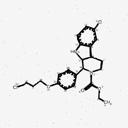 CCOC(=O)N1CCC2c3cc(Cl)ccc3NC2C1c1ccc(OCCCCl)cc1